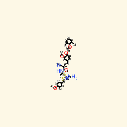 C=C(NC(=O)C(=C=Cc1ccc(OCCOc2c(C)cccc2C)c(OC)c1)C#N)S/C(=N\N)SCc1ccc(OC)cc1